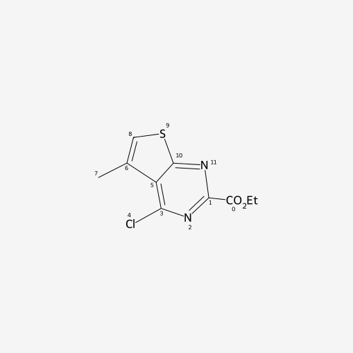 CCOC(=O)c1nc(Cl)c2c(C)csc2n1